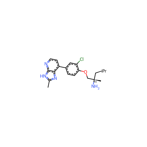 Cc1nc2c(-c3ccc(OC[C@@](C)(N)CC(C)C)c(Cl)c3)ccnc2[nH]1